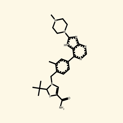 Cc1cc(-c2ncnc3nc(N4CCN(C)CC4)[nH]c23)ccc1CN1C=C(C(N)=O)SC1C(C)(C)C